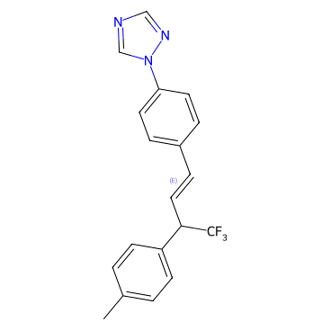 Cc1ccc(C(/C=C/c2ccc(-n3cncn3)cc2)C(F)(F)F)cc1